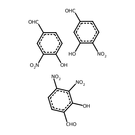 O=Cc1ccc(O)c([N+](=O)[O-])c1.O=Cc1ccc([N+](=O)[O-])c(O)c1.O=Cc1ccc([N+](=O)[O-])c([N+](=O)[O-])c1O